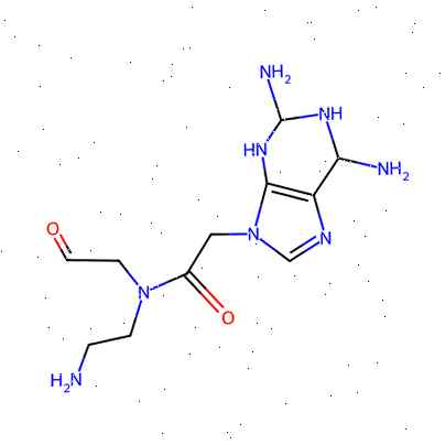 NCCN(CC=O)C(=O)Cn1cnc2c1NC(N)NC2N